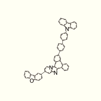 c1ccc2c(c1)oc1ccc(-c3ccn4c(c3)nc3c5ccccc5c5cc(-c6ccc(-c7ccc(-n8c9ccccc9c9ccccc98)cc7)cc6)ccc5c34)cc12